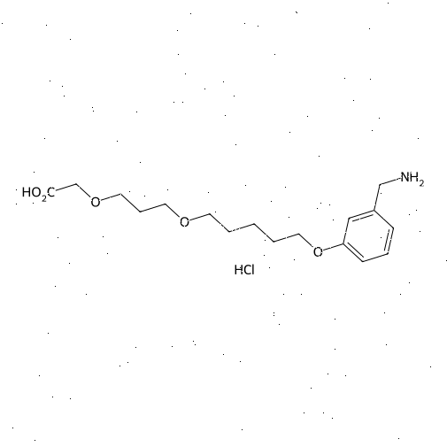 Cl.NCc1cccc(OCCCCCOCCCOCC(=O)O)c1